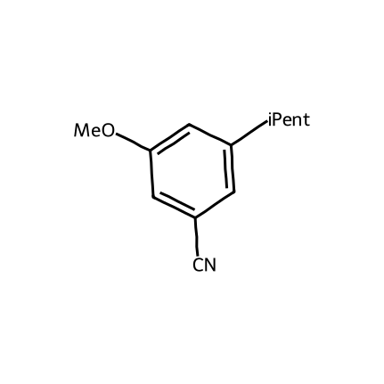 [CH2]C(CCC)c1cc(C#N)cc(OC)c1